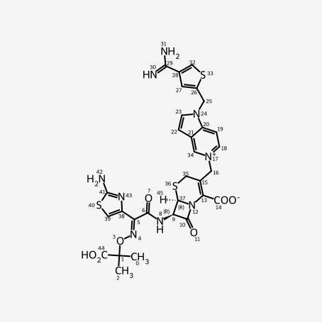 CC(C)(ON=C(C(=O)N[C@@H]1C(=O)N2C(C(=O)[O-])=C(C[n+]3ccc4c(ccn4Cc4cc(C(=N)N)cs4)c3)CS[C@H]12)c1csc(N)n1)C(=O)O